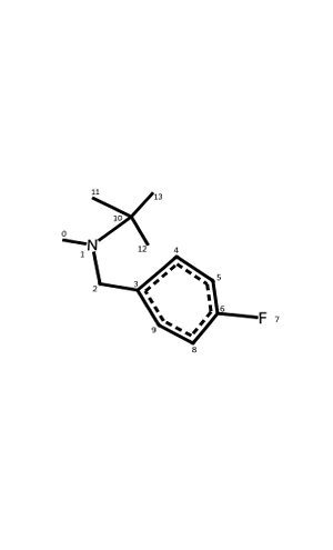 CN(Cc1ccc(F)cc1)C(C)(C)C